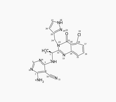 C[C@H](Nc1ncnc(N)c1C#N)c1nc2cccc(Cl)c2c(=O)n1Cc1cc[nH]n1